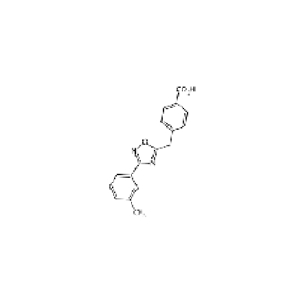 O=C(O)c1ccc(Cc2nc(-c3cccc(C(F)(F)F)c3)no2)cc1